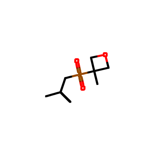 CC(C)CS(=O)(=O)C1(C)COC1